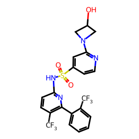 O=S(=O)(Nc1ccc(C(F)(F)F)c(-c2ccccc2C(F)(F)F)n1)c1ccnc(N2CC(O)C2)c1